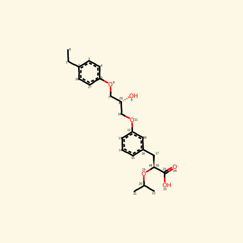 CCc1ccc(OC[C@H](O)COc2cccc(C[C@H](OC(C)C)C(=O)O)c2)cc1